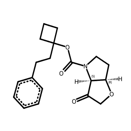 O=C1CO[C@@H]2CCN(C(=O)OC3(CCc4ccccc4)CCC3)[C@H]12